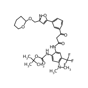 CN(C)c1cc(NC(=O)OC(C)(C)C)c(NC(=O)CC(=O)c2cccc(-c3cc(COC4CCCCO4)no3)c2)cc1C(F)(F)F